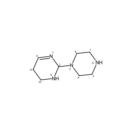 C1=NC(N2CCNCC2)NCC1